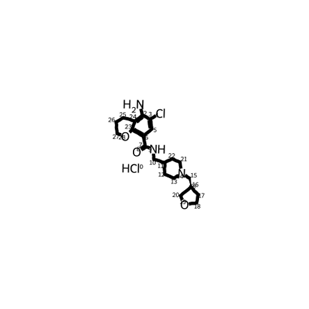 Cl.Nc1c(Cl)cc(C(=O)NCC2CCN(C[C@H]3CCOC3)CC2)c2c1CCCO2